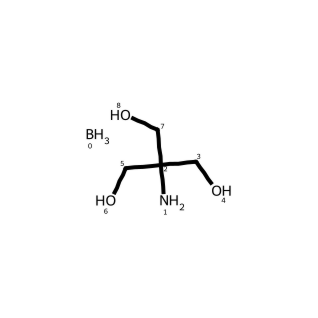 B.NC(CO)(CO)CO